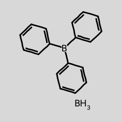 B.c1ccc(B(c2ccccc2)c2ccccc2)cc1